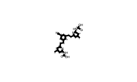 Cc1cc(CCc2cc(C#N)cc(CCc3cc(C)cc(NC(=O)O)n3)c2)nc(NC(=O)O)c1